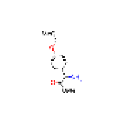 COCOc1ccc(C(N)C(=O)OC)cc1